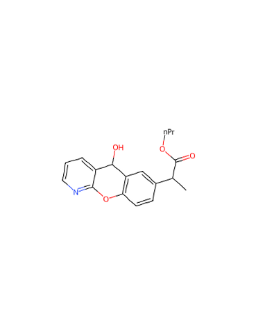 CCCOC(=O)C(C)c1ccc2c(c1)C(O)c1cccnc1O2